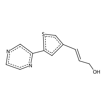 OCC=Cc1csc(-c2cnccn2)c1